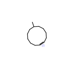 CC1CCCC/C=C\CCCCC1